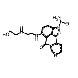 CCC(N)n1nc2c3c(c(NCCNCCO)ccc31)C(=O)c1cnccc1-2